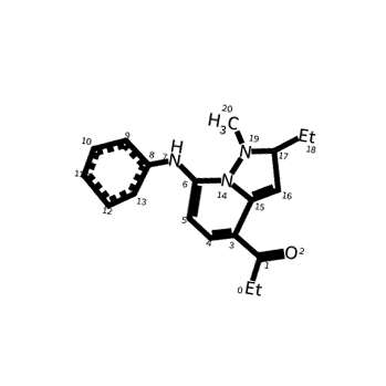 CCC(=O)C1=CC=C(Nc2ccccc2)N2C1=CC(CC)N2C